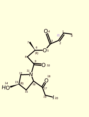 C/C=C/C(=O)O[C@H](C)CC(=O)N1C[C@H](O)CC1C(=O)CI